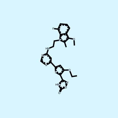 CCOc1cc(-c2cc(NCCn3c(C)c(OC)c4cccc(F)c43)ncn2)sc1-c1noc(=O)[nH]1